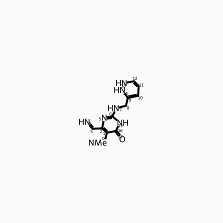 CNc1c(C=N)nc(NCC2=CC=CNN2)[nH]c1=O